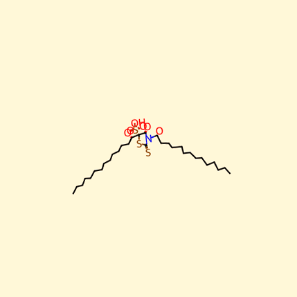 CCCCCCCCCCCCCC(=O)N1C(=O)C(C(=O)CCCCCCCCCCCCC)(S(=O)(=O)O)SC1=S